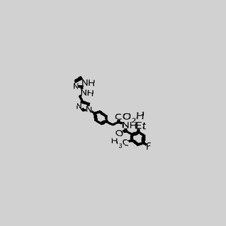 CCc1cc(F)cc(C)c1C(=O)NC(Cc1ccc(-n2cnc(CNc3ncc[nH]3)c2)cc1)C(=O)O